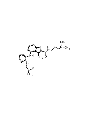 Cc1c(C(=O)NCCCN(C)C)sc2ncnc(Nc3cccnc3OCC(C)F)c12